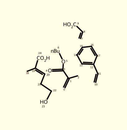 C=C(C)C(=O)OCCCC.C=CC(=O)O.C=Cc1ccccc1.CC(=CCCO)C(=O)O